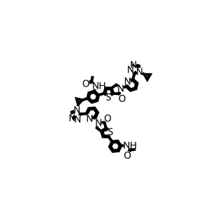 CC(=O)Nc1cccc(-c2cc3c(s2)C(=O)N(c2cccc(-c4nncn4C4CC4c4ccc(-c5cc6c(s5)C(=O)N(c5cccc(-c7nncn7C7CC7)n5)C6)c(NC(C)=O)c4)n2)C3)c1